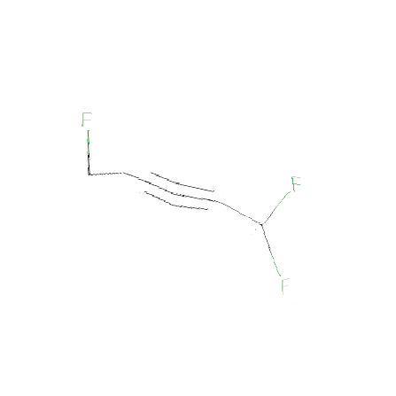 FCC#C[C](F)F